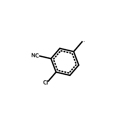 [CH2]c1ccc(Cl)c(C#N)c1